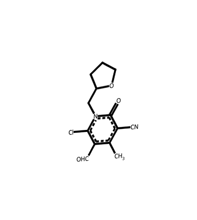 Cc1c(C=O)c(Cl)n(CC2CCCO2)c(=O)c1C#N